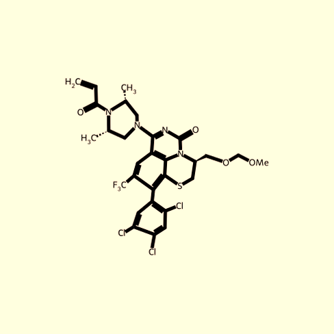 C=CC(=O)N1[C@H](C)CN(c2nc(=O)n3c4c(c(-c5cc(Cl)c(Cl)cc5Cl)c(C(F)(F)F)cc24)SC[C@@H]3COCOC)C[C@@H]1C